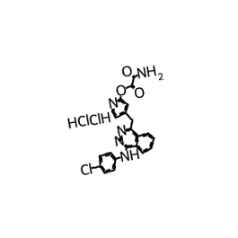 Cl.Cl.NC(=O)C(=O)Oc1cc(Cc2nnc(Nc3ccc(Cl)cc3)c3ccccc23)ccn1